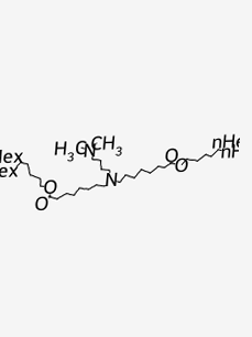 CCCCCCC(CCCCCC)CCCCOC(=O)CCCCCCCN(CCCCCCCC(=O)OCCCCC(CCCCCC)CCCCCC)CCCCN(C)C